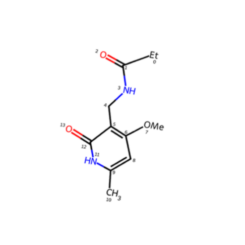 CCC(=O)NCc1c(OC)cc(C)[nH]c1=O